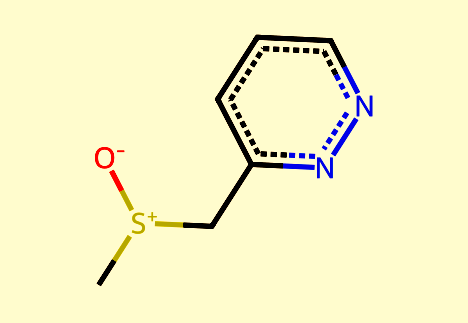 C[S+]([O-])Cc1cccnn1